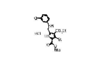 CCOC(=O)c1c(CNc2cccc(Cl)c2)[nH]c(C(=O)OC(C)(C)C)c1CC.Cl